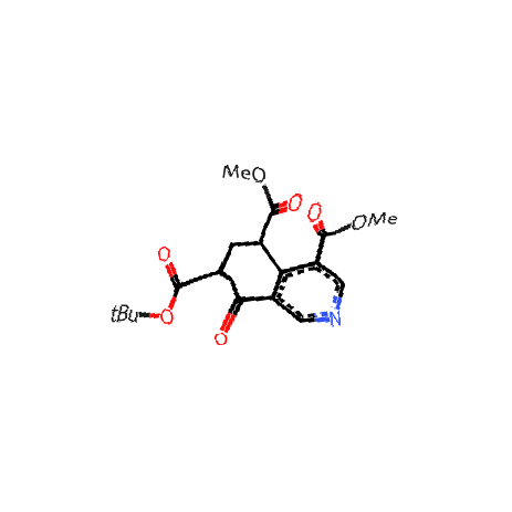 COC(=O)c1cncc2c1C(C(=O)OC)CC(C(=O)OC(C)(C)C)C2=O